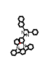 c1ccc(-c2cc(-c3ccc4ccccc4c3)nc(-c3cccc(-n4c5ccccc5c5ccc6c7ccccc7n(-c7ccccc7)c6c54)c3)n2)cc1